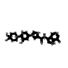 O=C(Nc1c[nH]c2c(F)cncc12)c1cn(-c2cnc(N3CCC(F)(F)CC3)c(F)c2)cn1